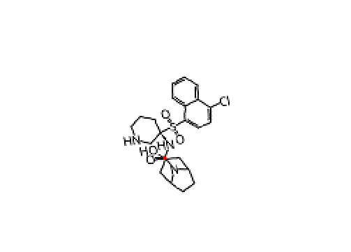 O=C(N[C@]1(S(=O)(=O)c2ccc(Cl)c3ccccc23)CCCNC1)N1C2CCC1CC(O)C2